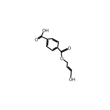 O=C(O)c1ccc(C(=O)OCC=CO)cc1